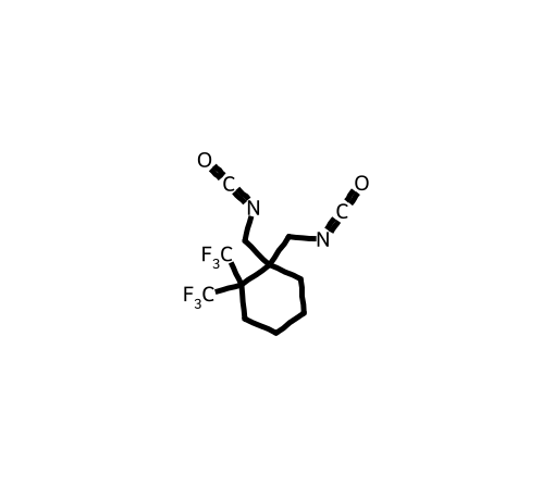 O=C=NCC1(CN=C=O)CCCCC1(C(F)(F)F)C(F)(F)F